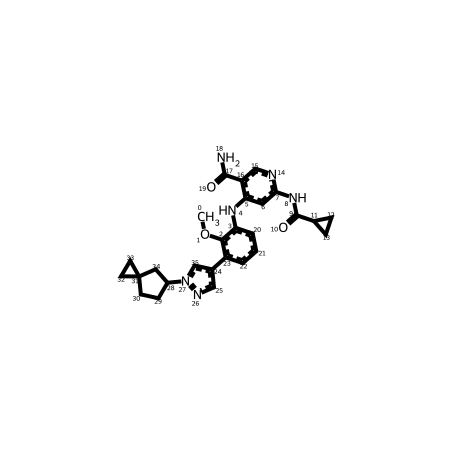 COc1c(Nc2cc(NC(=O)C3CC3)ncc2C(N)=O)cccc1-c1cnn(C2CCC3(CC3)C2)c1